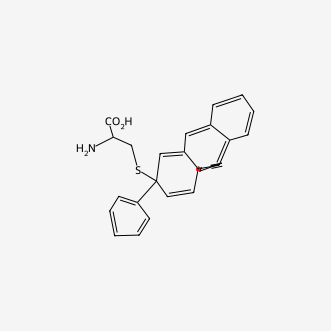 NC(CSC1(c2ccccc2)C=CC23C=CC=CC2=c2ccccc2=CC3=C1)C(=O)O